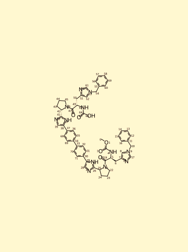 COC(=O)N[C@@H](Cc1cn(Cc2ccccc2)cn1)C(=O)N1CCCC1c1ncc(-c2ccc(-c3ccc(-c4cnc([C@@H]5CCCN5C(=O)[C@H](Cc5cn(Cc6ccccc6)cn5)NC(=O)O)[nH]4)cc3)cc2)[nH]1